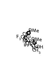 COc1ccc(-c2nc3c(C(=O)N(CCN(C)C(CO)c4ccc(OC)nc4)C(C)C)cnn3c(C(F)(F)F)c2C)cc1